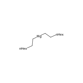 CCCCCCC[CH2][Mg][CH2]CCCCCCC